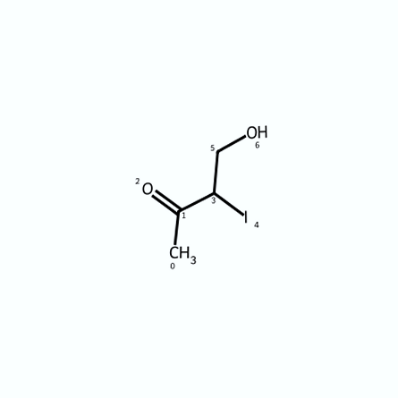 CC(=O)C(I)CO